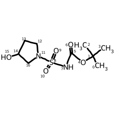 CC(C)(C)OC(=O)NS(=O)(=O)N1CCC(O)C1